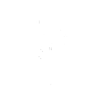 Clc1ccc2oc3ccc4c(-c5ccccc5)nnn4c3c2c1